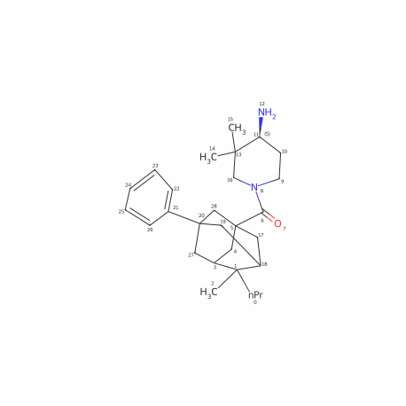 CCCC1(C)C2CC3(C(=O)N4CC[C@H](N)C(C)(C)C4)CC1CC(c1ccccc1)(C2)C3